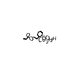 C=CC(=O)OCCC1(C(=O)O)CCC=CC1C(=O)O